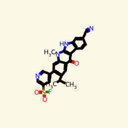 CC(C)c1cc2c(=O)c3c4ccc(C#N)cc4[nH]c3n(C)c2cc1-c1cncc(S(=O)(=O)F)c1